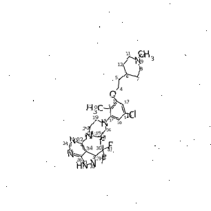 Cc1c(OCCC2CCN(C)CC2)cc(Cl)cc1N1CCN(c2ncnc3[nH]nc(C(F)(F)F)c23)CC1